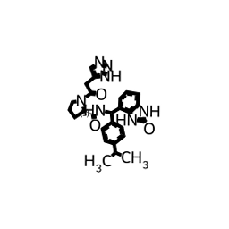 CC(C)c1ccc(C(NC(=O)[C@@H]2CCCN2C(=O)Cc2cnn[nH]2)c2cccc3[nH]c(=O)[nH]c23)cc1